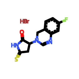 Br.O=C1NC(=S)CC1N1C=Nc2cc(F)ccc2C1